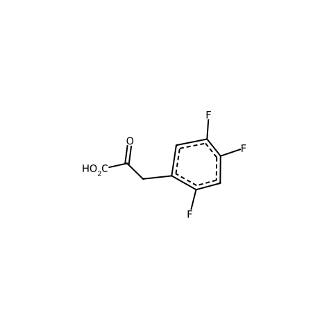 O=C(O)C(=O)Cc1cc(F)c(F)cc1F